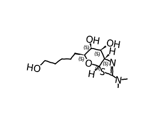 CN(C)C1=N[C@H]2[C@H](O)[C@H](O)[C@H](CCCCCO)O[C@H]2S1